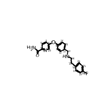 NC(=O)c1ccc(Oc2ccc(CNCCc3ccc(F)cc3)cc2)cn1